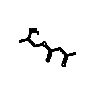 CC(=O)CC(=O)OCC(C)N